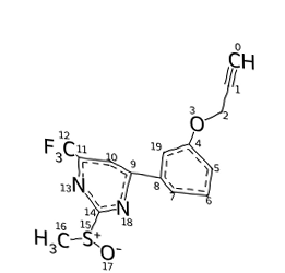 C#CCOc1cccc(-c2cc(C(F)(F)F)nc([S+](C)[O-])n2)c1